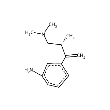 C=C(c1cccc(N)c1)[C@@H](C)CN(C)C